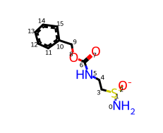 N[S+]([O-])CCNC(=O)OCc1ccccc1